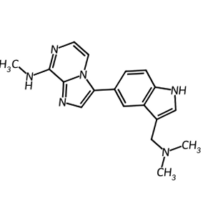 CNc1nccn2c(-c3ccc4[nH]cc(CN(C)C)c4c3)cnc12